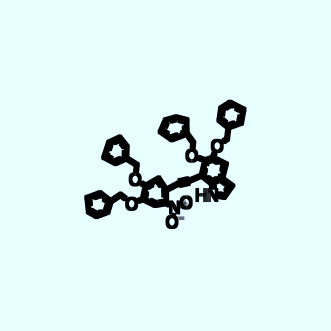 O=[N+]([O-])c1cc(OCc2ccccc2)c(OCc2ccccc2)cc1C#Cc1c(OCc2ccccc2)c(OCc2ccccc2)cc2cc[nH]c12